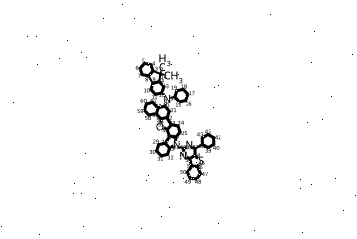 CC1(C)c2ccccc2-c2ccc(N(c3ccccc3)c3cc4c5ccc6c(c7ccccc7n6-c6nc(-c7ccccc7)c7sc8ccccc8c7n6)c5oc4c4ccccc34)cc21